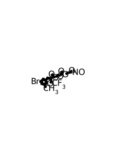 Cc1cc(Br)cc2c1O[C@H](C(F)(F)F)C(C(=O)OCOC(=O)OCCON=O)=C2